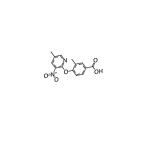 Cc1cnc(Oc2ccc(C(=O)O)cc2C)c([N+](=O)[O-])c1